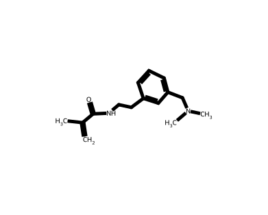 C=C(C)C(=O)NCCc1cccc(CN(C)C)c1